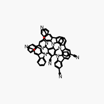 N#Cc1ccc2c(c1)c1ccccc1n2-c1c(C#N)c(-n2c3ccccc3c3cc(C#N)ccc32)c(-n2c3ccccc3c3cc(C#N)ccc32)c(-n2c3ccccc3c3cc(C#N)ccc32)c1-c1nc(-c2ccccc2)cc(-c2ccccc2)n1